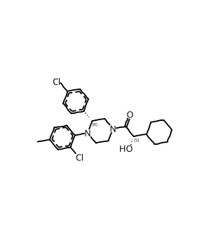 Cc1ccc(N2CCN(C(=O)[C@@H](O)C3CCCCC3)C[C@H]2c2ccc(Cl)cc2)c(Cl)c1